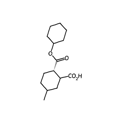 CC1CC[C@H](C(=O)OC2CCCCC2)C(C(=O)O)C1